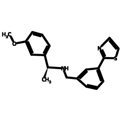 COc1cccc([C@@H](C)NCc2cccc(-c3nccs3)c2)c1